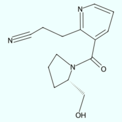 N#CCCc1ncccc1C(=O)N1CCC[C@H]1CO